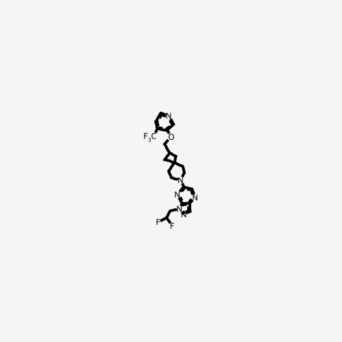 FC(F)Cn1ncc2ncc(N3CCC4(CC3)CC(COc3cnccc3C(F)(F)F)C4)nc21